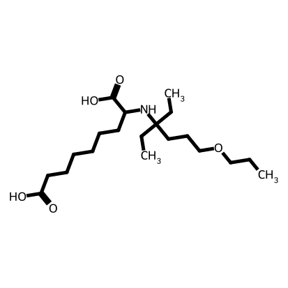 CCCOCCCC(CC)(CC)NC(CCCCCCC(=O)O)C(=O)O